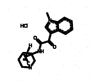 Cl.Cn1cc(C(=O)C(=O)N[C@@H]2CN3CCC2CC3)c2ccccc21